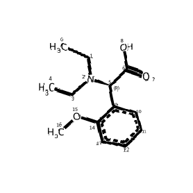 CCN(CC)[C@@H](C(=O)O)c1ccccc1OC